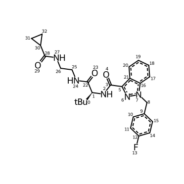 CC(C)(C)[C@H](NC(=O)c1nn(Cc2ccc(F)cc2)c2ccccc12)C(=O)NCCNC(=O)C1CC1